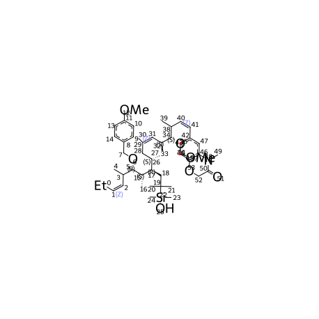 CC/C=C\C(C)[C@H](OCc1ccc(OC)cc1)[C@@H](C)[C@H](CC(C)(C)[Si](C)(C)O)[C@@H](C)C/C(C)=C\[C@H](C)[C@@H](OCOC)C(C)/C=C\c1ccc2c(c1)N(C)C(=O)CO2